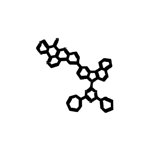 O=C1c2cncnc2-c2nccc3c2c1nc1ccc(-c2ccc4c(c2)c2c5ccccc5ccc2n4-c2nc(C4=CC=CC=CC4)nc(-c4ccccc4)n2)cc13